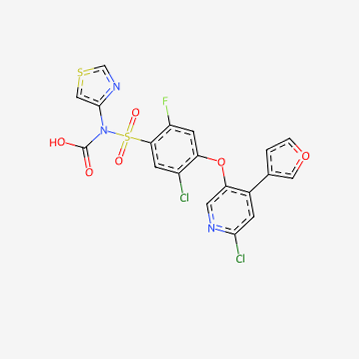 O=C(O)N(c1cscn1)S(=O)(=O)c1cc(Cl)c(Oc2cnc(Cl)cc2-c2ccoc2)cc1F